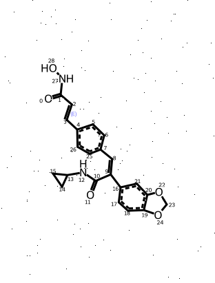 O=C(/C=C/c1ccc(C=C(C(=O)NC2CC2)c2ccc3c(c2)OCO3)cc1)NO